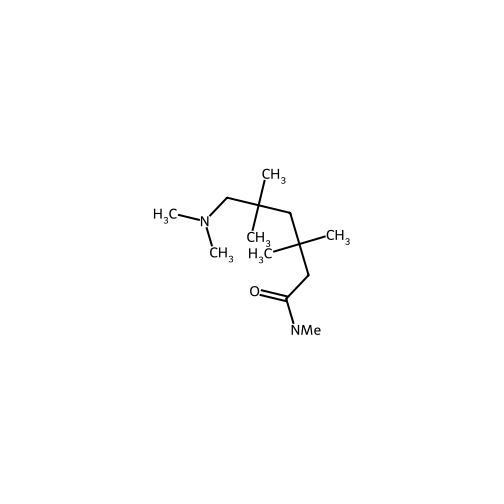 CNC(=O)CC(C)(C)CC(C)(C)CN(C)C